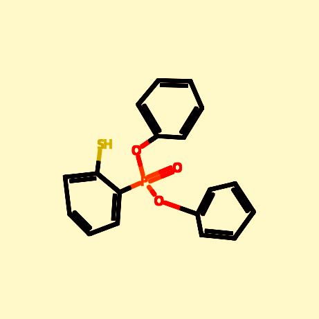 O=P(Oc1ccccc1)(Oc1ccccc1)c1ccccc1S